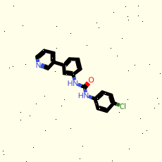 O=C(Nc1ccc(Cl)cc1)Nc1cccc(-c2cccnc2)c1